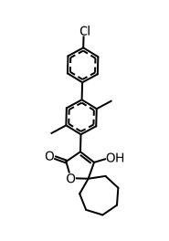 Cc1cc(-c2ccc(Cl)cc2)c(C)cc1C1=C(O)C2(CCCCCC2)OC1=O